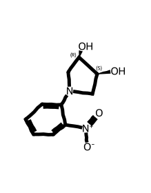 O=[N+]([O-])c1ccccc1N1C[C@@H](O)[C@@H](O)C1